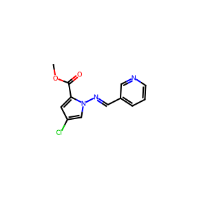 COC(=O)c1cc(Cl)cn1N=Cc1cccnc1